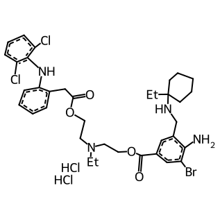 CCN(CCOC(=O)Cc1ccccc1Nc1c(Cl)cccc1Cl)CCOC(=O)c1cc(Br)c(N)c(CNC2(CC)CCCCC2)c1.Cl.Cl